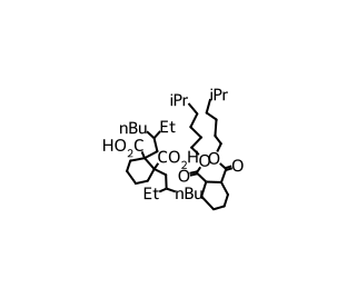 CC(C)CCCCOC(=O)C1CCCCC1C(=O)OCCCCC(C)C.CCCCC(CC)CC1(C(=O)O)CCCCC1(CC(CC)CCCC)C(=O)O